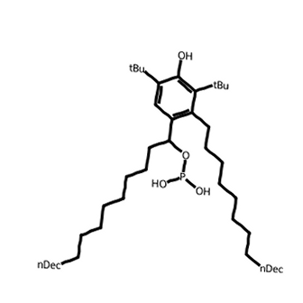 CCCCCCCCCCCCCCCCCCc1c(C(CCCCCCCCCCCCCCCCCC)OP(O)O)cc(C(C)(C)C)c(O)c1C(C)(C)C